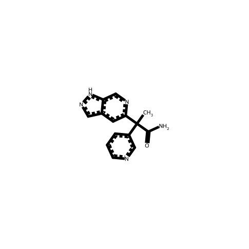 CC(C(N)=O)(c1cccnc1)c1cc2cn[nH]c2cn1